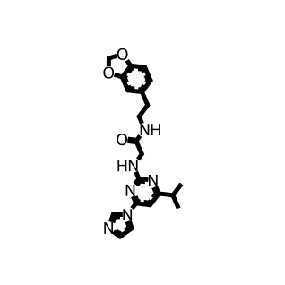 CC(C)c1cc(-n2ccnc2)nc(NCC(=O)NCCc2ccc3c(c2)OCO3)n1